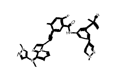 Cc1cc(F)c(C(=O)Nc2cc(-c3cnn(C)c3)cc(C(C)(C)C#N)c2)cc1C#Cc1cnc2c(N(C)c3cnn(C)c3)cccn12